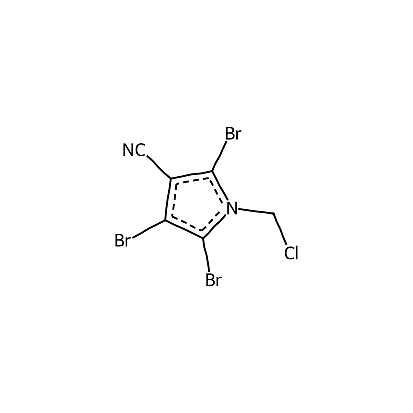 N#Cc1c(Br)c(Br)n(CCl)c1Br